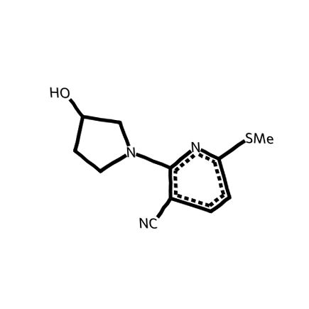 CSc1ccc(C#N)c(N2CCC(O)C2)n1